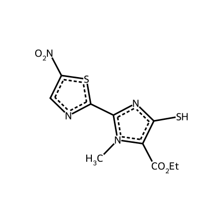 CCOC(=O)c1c(S)nc(-c2ncc([N+](=O)[O-])s2)n1C